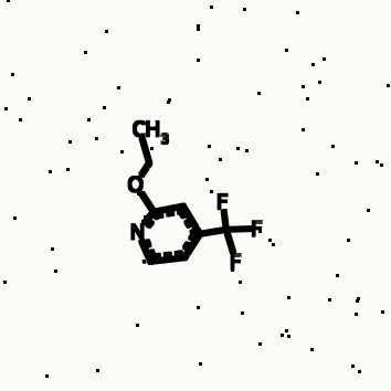 CCOc1cc(C(F)(F)F)c[c]n1